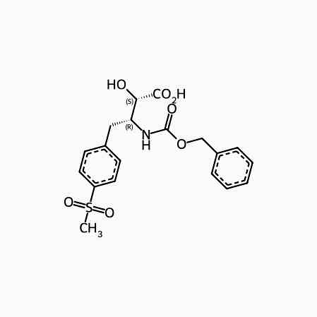 CS(=O)(=O)c1ccc(C[C@@H](NC(=O)OCc2ccccc2)[C@H](O)C(=O)O)cc1